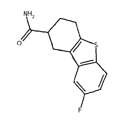 NC(=O)C1CCc2sc3ccc(F)cc3c2C1